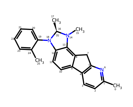 Cc1ccc2c(n1)Cc1c-2ccc2c1N(C)[C@H](C)N2c1ccccc1C